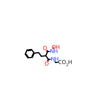 O=C(O)CNC(=O)C(CCc1ccccc1)C(=O)NO